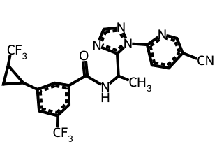 CC(NC(=O)c1cc(C2CC2C(F)(F)F)cc(C(F)(F)F)c1)c1ncnn1-c1ccc(C#N)cn1